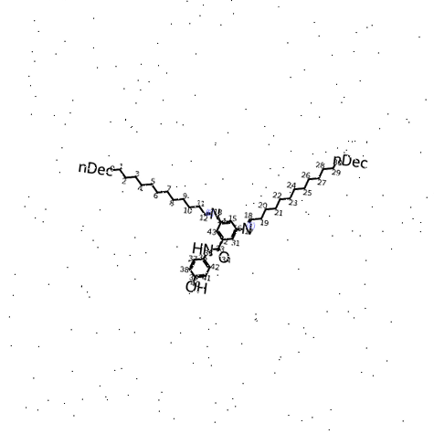 CCCCCCCCCCCCCCCCCCCCC/C=N/c1cc(/N=C/CCCCCCCCCCCCCCCCCCCCC)cc(C(=O)Nc2ccc(O)cc2)c1